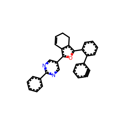 c1cccc(-c2ccccc2-c2oc(-c3cnc(-c4ccccc4)nc3)c3c2CCC=C3)c#1